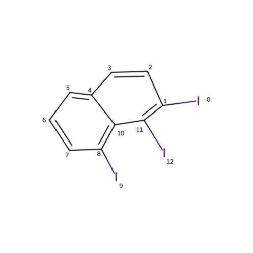 Ic1ccc2cccc(I)c2c1I